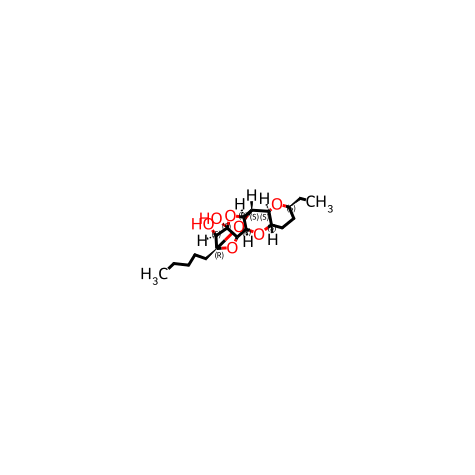 CCCCC[C@]12OC3[C@@H]4O[C@H]5CC[C@H](CC)O[C@@H]5[C@H](O1)[C@@H]4O[C@@]3(O)[C@@H]2O